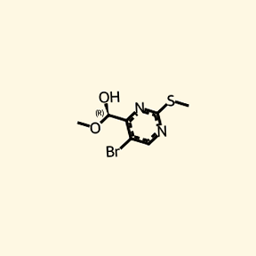 CO[C@@H](O)c1nc(SC)ncc1Br